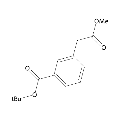 COC(=O)Cc1cccc(C(=O)OC(C)(C)C)c1